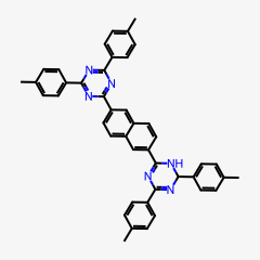 Cc1ccc(C2=NC(c3ccc(C)cc3)NC(c3ccc4cc(-c5nc(-c6ccc(C)cc6)nc(-c6ccc(C)cc6)n5)ccc4c3)=N2)cc1